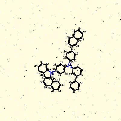 c1ccc(-c2cccc(N(c3ccc(-c4ccc5ccccc5c4)cc3)c3ccc(-n4c5ccccc5c5ccc6ccccc6c54)cc3)c2)cc1